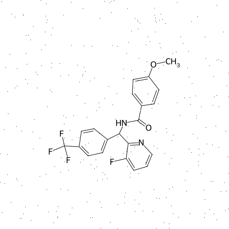 COc1ccc(C(=O)NC(c2ccc(C(F)(F)F)cc2)c2ncccc2F)cc1